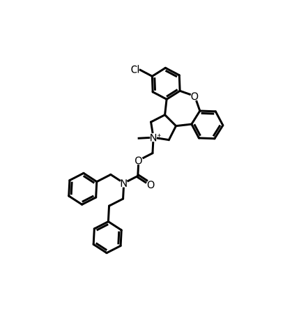 C[N+]1(COC(=O)N(CCc2ccccc2)Cc2ccccc2)CC2c3ccccc3Oc3ccc(Cl)cc3C2C1